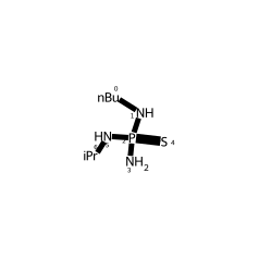 CCCCNP(N)(=S)NC(C)C